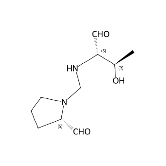 C[C@@H](O)[C@@H](C=O)NCN1CCC[C@H]1C=O